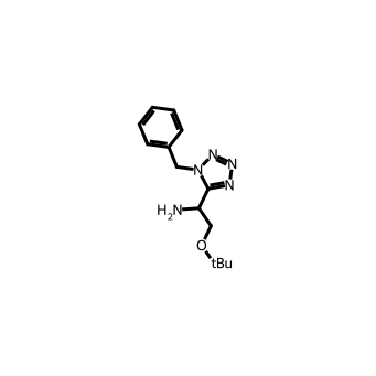 CC(C)(C)OCC(N)c1nnnn1Cc1ccccc1